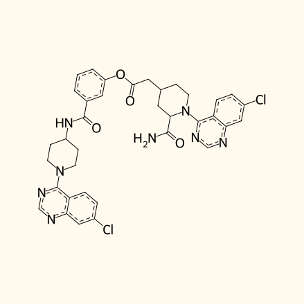 NC(=O)C1CC(CC(=O)Oc2cccc(C(=O)NC3CCN(c4ncnc5cc(Cl)ccc45)CC3)c2)CCN1c1ncnc2cc(Cl)ccc12